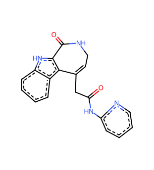 O=C(CC1=CCNC(=O)c2[nH]c3ccccc3c21)Nc1ccccn1